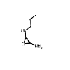 CCCNC1OC1N